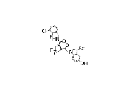 CC(=O)c1cn(CC(=O)N2C[C@](C)(F)C[C@H]2C(=O)NCc2cccc(Cl)c2F)c2ccc(O)cc12